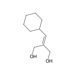 OCC(=CC1CCCCC1)CO